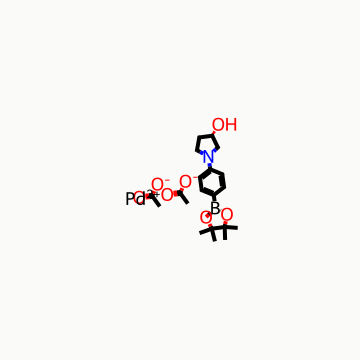 CC(=O)[O-].CC(=O)[O-].CC1(C)OB(c2ccc(N3CC[C@@H](O)C3)cc2)OC1(C)C.[Pd+2]